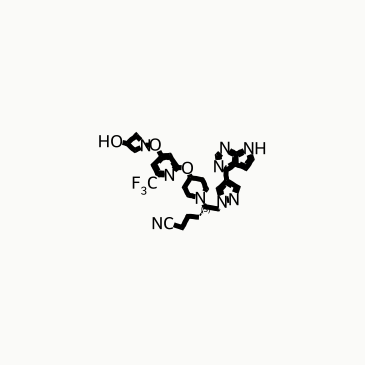 N#CCCC[C@@H](Cn1cc(-c2ncnc3[nH]ccc23)cn1)N1CCC(Oc2cc(ON3CC(O)C3)cc(C(F)(F)F)n2)CC1